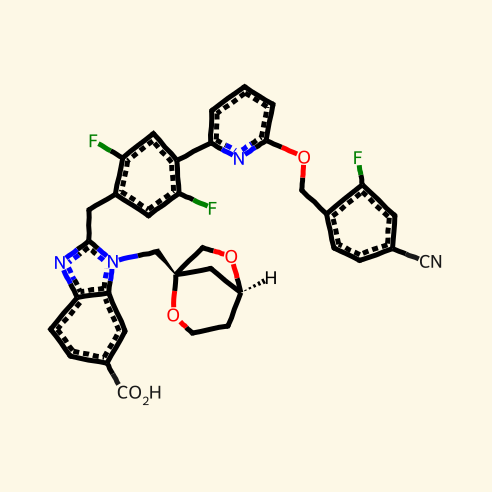 N#Cc1ccc(COc2cccc(-c3cc(F)c(Cc4nc5ccc(C(=O)O)cc5n4C[C@]45CO[C@@H](CCO4)C5)cc3F)n2)c(F)c1